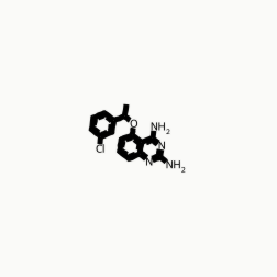 CC(Oc1cccc2nc(N)nc(N)c12)c1cccc(Cl)c1